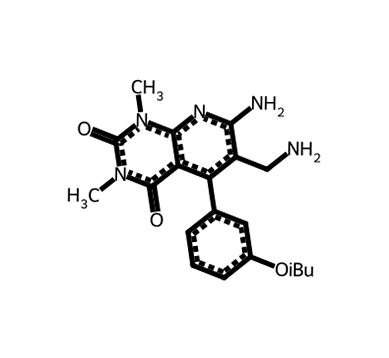 CC(C)COc1cccc(-c2c(CN)c(N)nc3c2c(=O)n(C)c(=O)n3C)c1